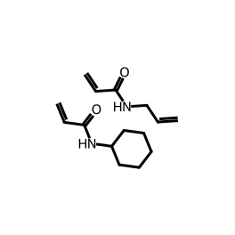 C=CC(=O)NC1CCCCC1.C=CCNC(=O)C=C